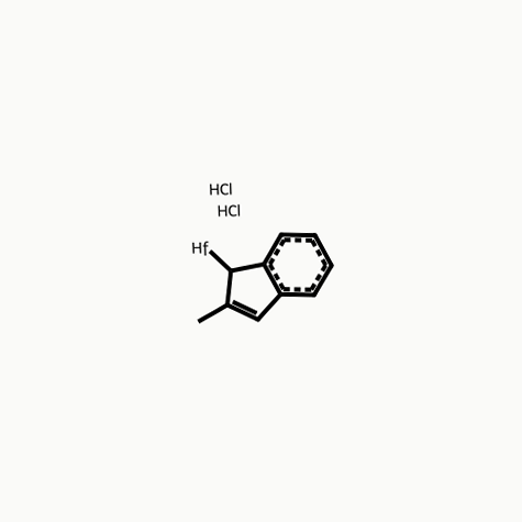 CC1=Cc2ccccc2[CH]1[Hf].Cl.Cl